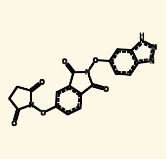 O=C1CCC(=O)N1Oc1ccc2c(c1)C(=O)N(Oc1ccc3nn[nH]c3c1)C2=O